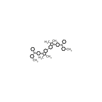 Cc1cccc(N(c2ccccc2)c2ccc(-n3c(C)c(C)c4cc(-c5ccc6c(c5)c(C)c(C)n6-c5ccc(N(c6ccccc6)c6cccc(C)c6)cc5)ccc43)cc2)c1